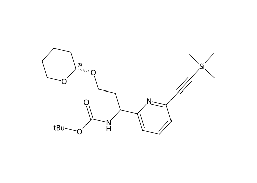 CC(C)(C)OC(=O)NC(CCO[C@H]1CCCCO1)c1cccc(C#C[Si](C)(C)C)n1